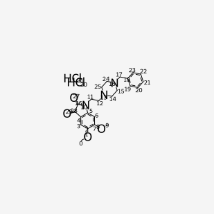 COc1cc2c(cc1OC)N(CCN1CCN(Cc3ccccc3)CC1)C(=O)C2=O.Cl.Cl